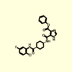 O=C(Oc1ccccc1)c1nc[nH]c1C(=O)N[C@H]1CC[C@H](C(=O)Nc2cc(F)ccc2Cl)CC1